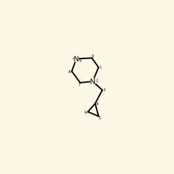 C1CN(CC2CC2)CC[N]1